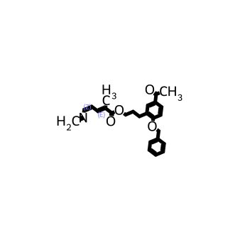 C=N/C=C\C=C(/C)C(=O)OCCCc1cc(C(C)=O)ccc1OCc1ccccc1